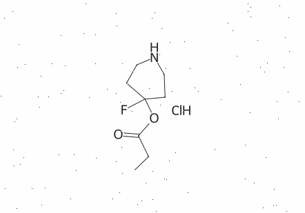 CCC(=O)OC1(F)CCNCC1.Cl